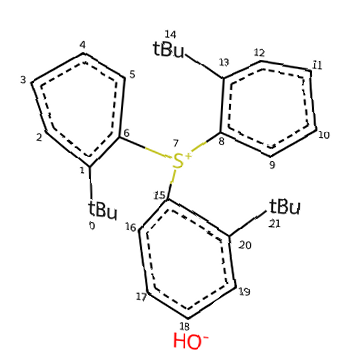 CC(C)(C)c1ccccc1[S+](c1ccccc1C(C)(C)C)c1ccccc1C(C)(C)C.[OH-]